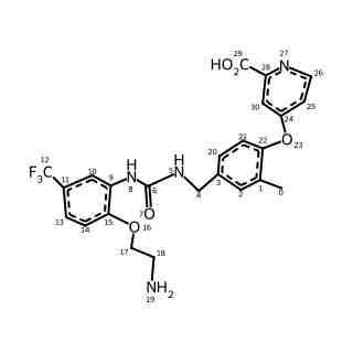 Cc1cc(CNC(=O)Nc2cc(C(F)(F)F)ccc2OCCN)ccc1Oc1ccnc(C(=O)O)c1